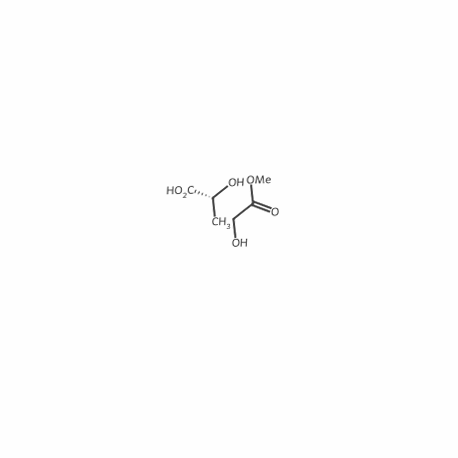 COC(=O)CO.C[C@@H](O)C(=O)O